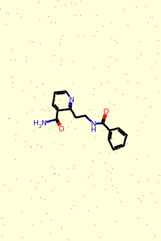 NC(=O)c1cccnc1[CH]CNC(=O)c1ccccc1